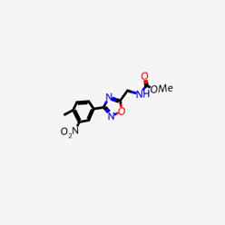 COC(=O)NCc1nc(-c2ccc(C)c([N+](=O)[O-])c2)no1